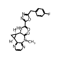 CN1C(=O)[C@H](NC(=O)c2nnc(Cc3ccc(F)cc3)o2)[C@@H]2C[C@@H]2c2nccnc21